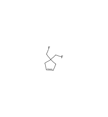 FCC1(CF)CC=CC1